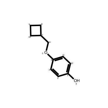 Oc1ccc(OCC2CCC2)cc1